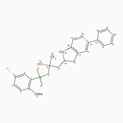 COc1ccc(F)cc1C(C)(C)CC(O)(CC1Cc2cc(-c3ccccc3)ncc2N1)C(F)(F)F